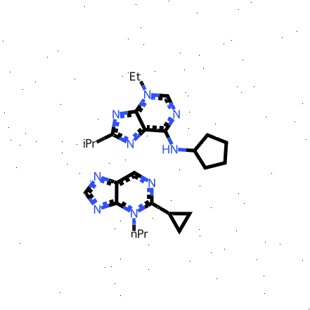 CCCn1c2ncnc-2cnc1C1CC1.CCn1cnc(NC2CCCC2)c2nc(C(C)C)nc1-2